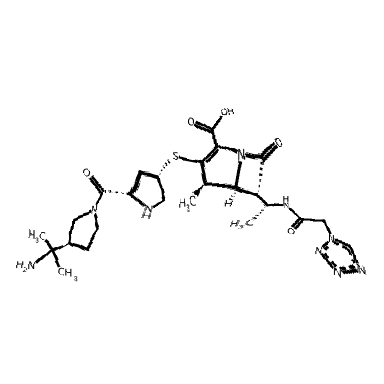 C[C@@H](NC(=O)Cn1cnnn1)[C@H]1C(=O)N2C(C(=O)O)=C(S[C@@H]3CN[C@H](C(=O)N4CC[C@@H](C(C)(C)N)C4)C3)[C@H](C)[C@H]12